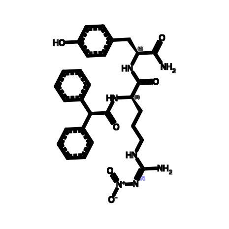 NC(=O)[C@H](Cc1ccc(O)cc1)NC(=O)[C@@H](CCCN/C(N)=N\[N+](=O)[O-])NC(=O)C(c1ccccc1)c1ccccc1